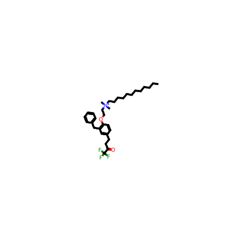 CCCCCCCCCCCC[N+](C)(C)CCOc1ccc(CCC(=O)C(F)(F)F)cc1Cc1ccccc1